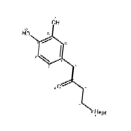 CCCCCCCCCC(=O)Cc1ccc(O)c(O)c1